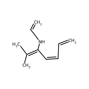 C=C/C=C\C(NC=C)=C(C)C